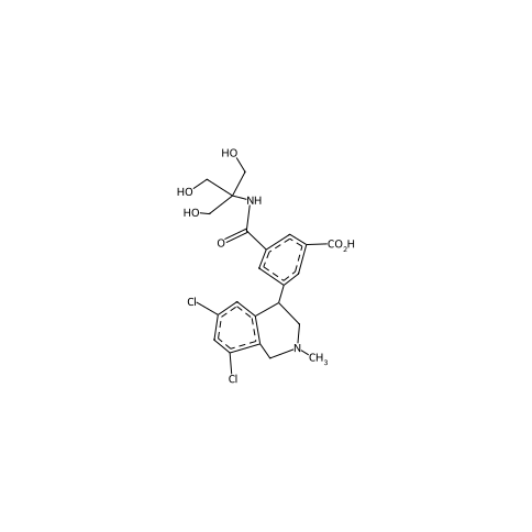 CN1Cc2c(Cl)cc(Cl)cc2C(c2cc(C(=O)O)cc(C(=O)NC(CO)(CO)CO)c2)C1